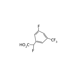 O=C(O)C(F)c1cc(F)cc(C(F)(F)F)c1